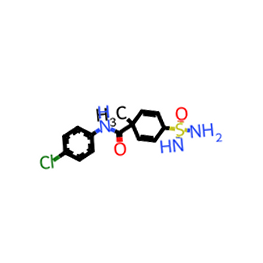 CC1(C(=O)Nc2ccc(Cl)cc2)C=CC(S(=N)(N)=O)C=C1